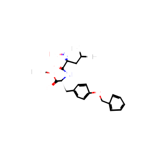 COC(=O)[C@H](Cc1ccc(OCc2ccccc2)cc1)NC(=O)/C(CC(C)C)=N\O